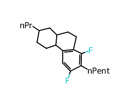 CCCCCc1c(F)cc2c(c1F)CCC1CC(CCC)CCC21